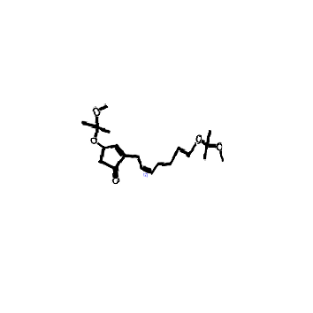 COC(C)(C)OCCCC/C=C\CC1=CC(OC(C)(C)OC)CC1=O